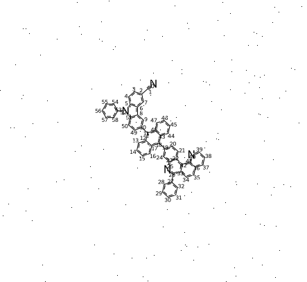 N#Cc1ccc2c(c1)c1cc(-c3c4ccccc4c(-c4ccc5c(c4)nc(-c4ccccc4)c4ccc6cccnc6c45)c4ccccc34)ccc1n2-c1ccccc1